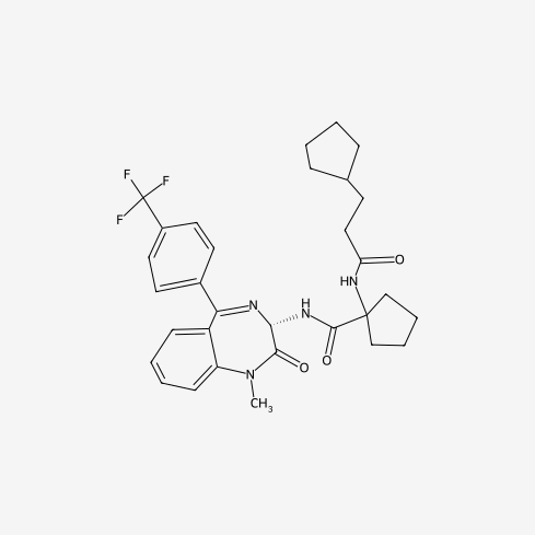 CN1C(=O)[C@@H](NC(=O)C2(NC(=O)CCC3CCCC3)CCCC2)N=C(c2ccc(C(F)(F)F)cc2)c2ccccc21